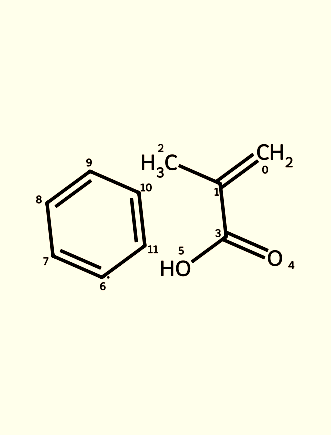 C=C(C)C(=O)O.[c]1ccccc1